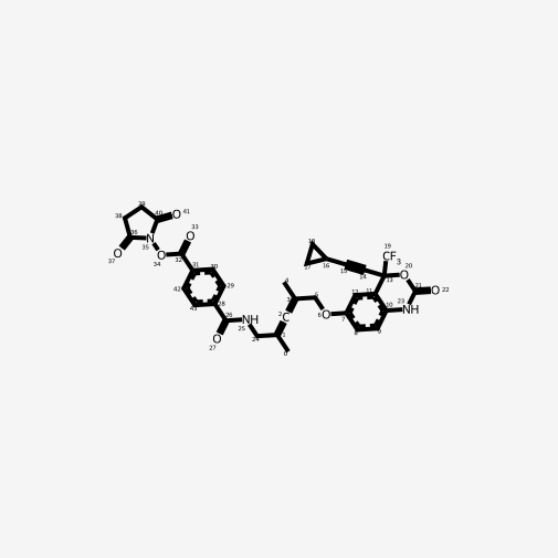 CC(=C=C(C)COc1ccc2c(c1)C(C#CC1CC1)(C(F)(F)F)OC(=O)N2)CNC(=O)c1ccc(C(=O)ON2C(=O)CCC2=O)cc1